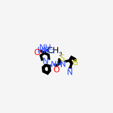 CNC1(C(N)=O)CCN(c2ccccc2NC(=O)c2csc(-c3ccsc3C#N)n2)CC1